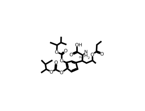 CCC(=O)OC(C)CC(c1ccc(OC(=O)OC(C)C(C)C)c(OC(=O)OC(C)C(C)C)c1)[C@H](N)C(=O)O